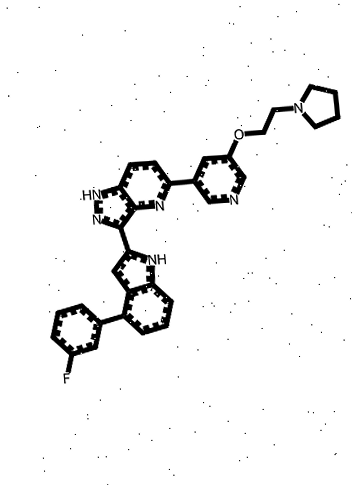 Fc1cccc(-c2cccc3[nH]c(-c4n[nH]c5ccc(-c6cncc(OCCN7CCCC7)c6)nc45)cc23)c1